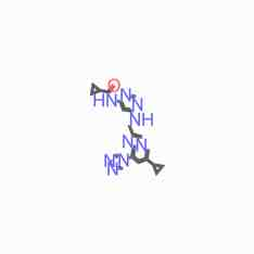 O=C(Nc1cc(NCc2cn3cc(C4CC4)cc(-n4cnnc4)c3n2)ncn1)C1CC1